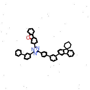 c1ccc(-c2cccc(-c3nc(-c4ccc(-c5cccc(-c6ccc7c(c6)-c6ccccc6C76CCCCC6)c5)cc4)nc(-c4ccc5c(c4)oc4ccccc45)n3)c2)cc1